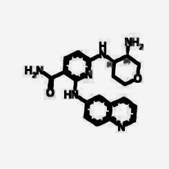 NC(=O)c1ccc(N[C@@H]2CCOC[C@@H]2N)nc1Nc1ccc2ncccc2c1